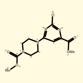 COC(=O)c1cc(N2CCN(C(=O)OC(C)(C)C)CC2)nc(Cl)n1